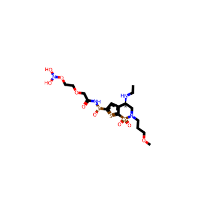 CCN[C@H]1CN(CCCOC)S(=O)(=O)c2sc([S+]([O-])NC(=O)COCCON(O)O)cc21